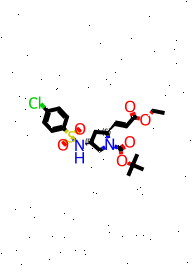 CCOC(=O)C=C[C@@H]1C[C@@H](NS(=O)(=O)c2ccc(Cl)cc2)CN1C(=O)OC(C)(C)C